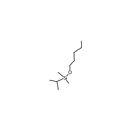 CCCCCO[Si](C)(C)C(C)C